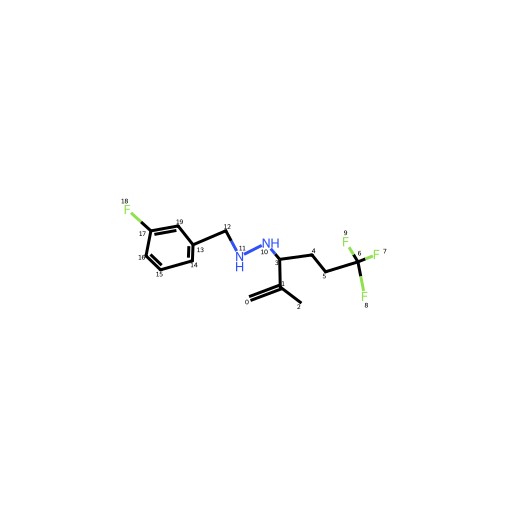 C=C(C)C(CCC(F)(F)F)NNCc1cccc(F)c1